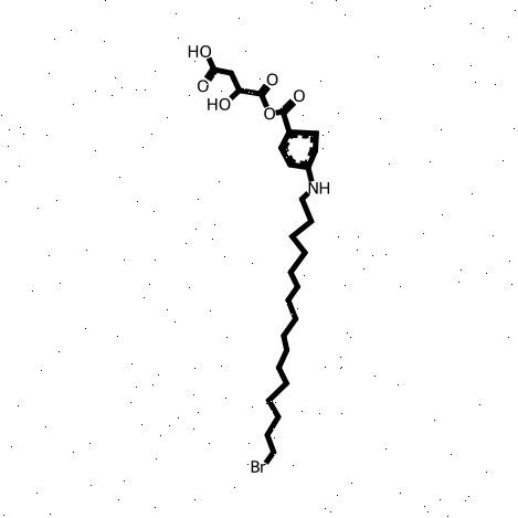 O=C(O)CC(O)C(=O)OC(=O)c1ccc(NCCCCCCCCCCCCCCCCBr)cc1